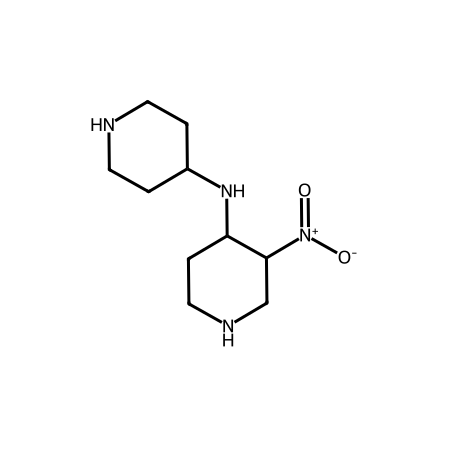 O=[N+]([O-])C1CNCCC1NC1CCNCC1